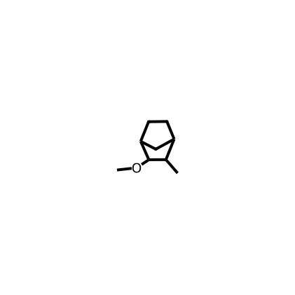 COC1C2CCC(C2)C1C